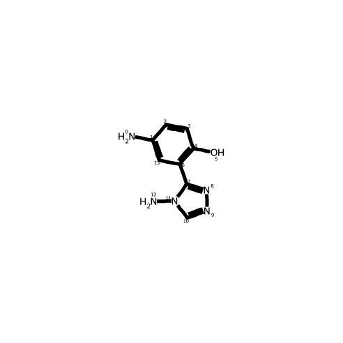 Nc1ccc(O)c(-c2nncn2N)c1